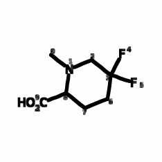 CN1CC(F)(F)CCC1C(=O)O